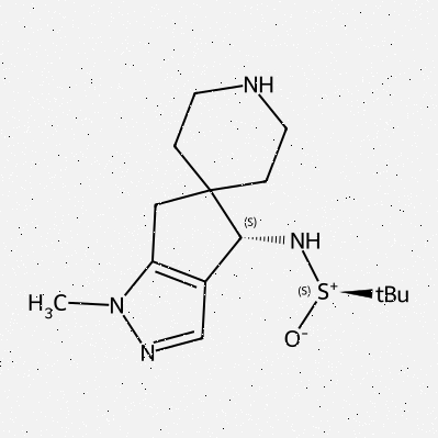 Cn1ncc2c1CC1(CCNCC1)[C@@H]2N[S@+]([O-])C(C)(C)C